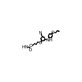 C=CCOc1ccc(Nc2cc(C#N)cc(OCCCCOC(=O)NC)c2)cc1